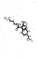 CCCCNC(=O)c1c(N)sc2c1CCN(CC)C2